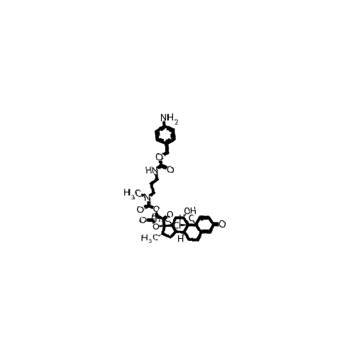 CCC(=O)O[C@]1(C(=O)COC(=O)N(C)CCCNC(=O)OCc2ccc(N)cc2)[C@@H](C)CC2[C@@H]3CCC4=CC(=O)C=C[C@]4(C)[C@@]3(Cl)[C@@H](O)C[C@@]21C